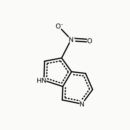 O=[N+]([O-])c1c[nH]c2cnccc12